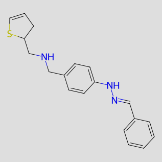 C1=CSC(CNCc2ccc(N/N=C/c3ccccc3)cc2)C1